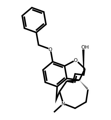 CN1CCC[C@]23c4c5ccc(OCc6ccccc6)c4OC2[C@@H](O)C=CC3C1C5